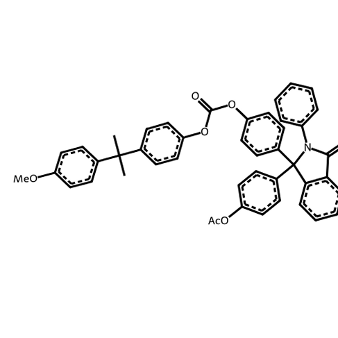 COc1ccc(C(C)(C)c2ccc(OC(=O)Oc3ccc(C4(c5ccc(OC(C)=O)cc5)c5ccccc5C(=O)N4c4ccccc4)cc3)cc2)cc1